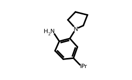 CC(C)c1ccc(N)c(N2CCCC2)c1